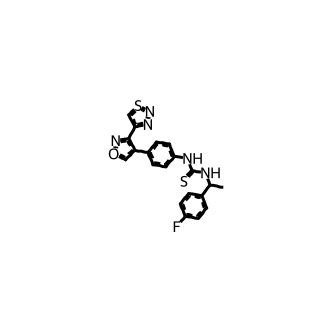 CC(NC(=S)Nc1ccc(-c2conc2-c2csnn2)cc1)c1ccc(F)cc1